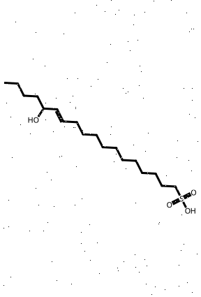 CCCCC(O)C=CCCCCCCCCCCCS(=O)(=O)O